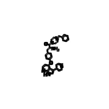 NC(Cc1ccc(Oc2ccnc3[nH]cc(-c4ccncc4)c23)cc1)C(=O)N1CCN(Cc2ccccc2)CC1